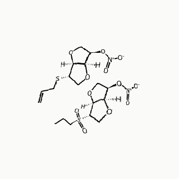 C=CCS[C@H]1CO[C@H]2[C@@H]1OC[C@H]2O[N+](=O)[O-].CCCS(=O)(=O)[C@H]1CO[C@H]2[C@@H]1OC[C@H]2O[N+](=O)[O-]